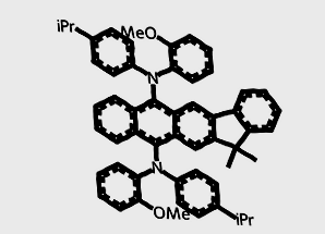 COc1ccccc1N(c1ccc(C(C)C)cc1)c1c2ccccc2c(N(c2ccc(C(C)C)cc2)c2ccccc2OC)c2cc3c(cc12)-c1ccccc1C3(C)C